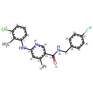 Cc1c(Cl)cccc1Nc1cc(C(C)C)c(C(=O)NCc2ccc(F)cc2)cn1